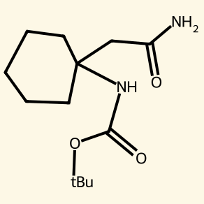 CC(C)(C)OC(=O)NC1(CC(N)=O)CCCCC1